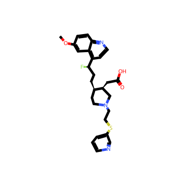 COc1ccc2nccc([C@H](F)CC[C@@H]3CCN(CCSc4cccnc4)C[C@@H]3CC(=O)O)c2c1